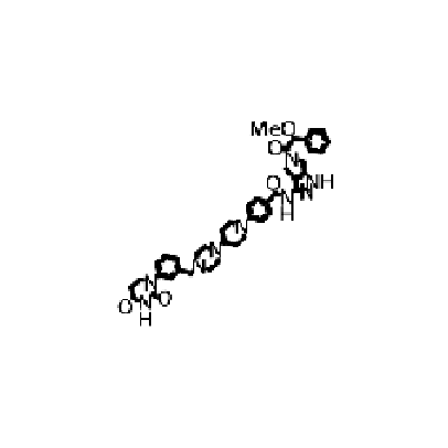 CO[C@@H](C(=O)N1Cc2[nH]nc(NC(=O)c3ccc(N4CCC(N5CCN(Cc6cccc(N7CCC(=O)NC7=O)c6)CC5)CC4)cc3)c2C1)c1ccccc1